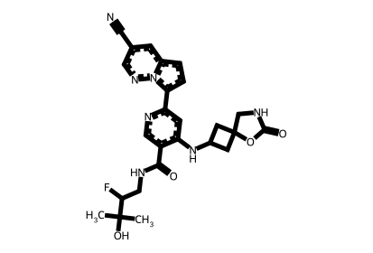 CC(C)(O)C(F)CNC(=O)c1cnc(-c2ccc3cc(C#N)cnn23)cc1NC1CC2(CNC(=O)O2)C1